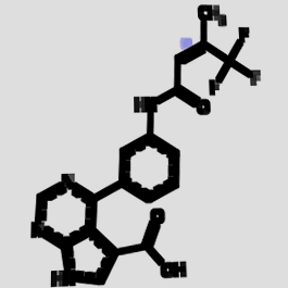 C/C(=C/C(=O)Nc1cccc(-c2ncnc3[nH]cc(C(=O)O)c23)c1)C(F)(F)F